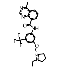 CCN1CCC[C@H]1COc1cc(NC(=O)c2cccc3c(C)ncnc23)cc(C(F)(F)F)c1